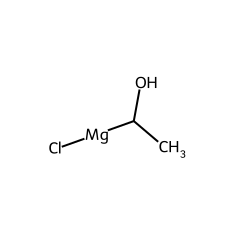 C[CH](O)[Mg][Cl]